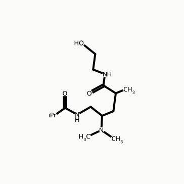 CC(C)C(=O)NCC(CC(C)C(=O)NCCO)N(C)C